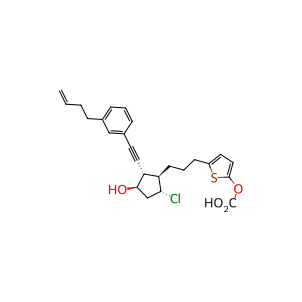 C=CCCc1cccc(C#C[C@@H]2[C@@H](CCCc3ccc(OC(=O)O)s3)[C@H](Cl)C[C@H]2O)c1